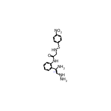 NN/C=C(\N)c1ccccc1NC(=O)CNSc1ccc([N+](=O)[O-])cc1